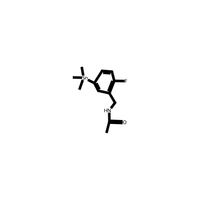 CC(=O)NCc1c[c]([Sn]([CH3])([CH3])[CH3])ccc1F